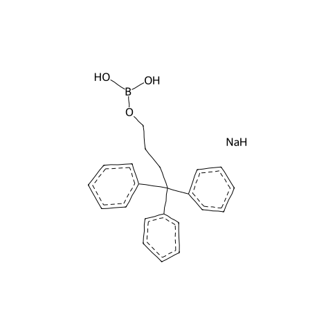 OB(O)OCCCC(c1ccccc1)(c1ccccc1)c1ccccc1.[NaH]